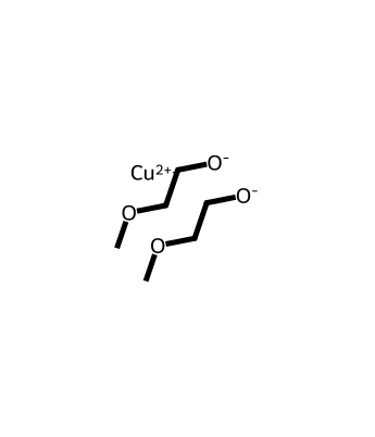 COCC[O-].COCC[O-].[Cu+2]